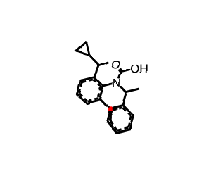 CC(C)c1cccc(C(C)C2CC2)c1N(C(=O)O)C(C)c1ccccc1